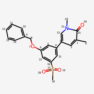 Cc1cc(-c2cc(OCc3ccccc3)cc(S(C)(=O)=O)c2)cn(C)c1=O